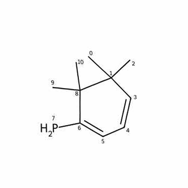 CC1(C)C=CC=C(P)C1(C)C